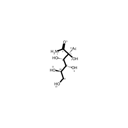 CC(=O)[C@@](O)(C(N)=O)[C@@H](O)[C@H](O)[C@H](O)CO